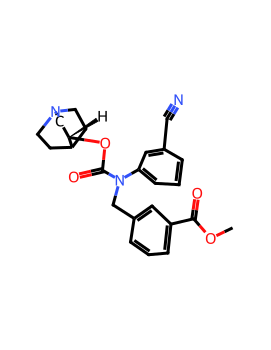 COC(=O)c1cccc(CN(C(=O)O[C@H]2CN3CCC2CC3)c2cccc(C#N)c2)c1